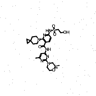 Cc1cc(NC(=O)c2ccc(NS(=O)(=O)CCO)nc2N2CCC3(CC2)CC3)nc(N2CCO[C@H](C)C2)n1